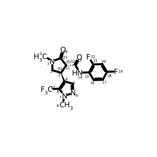 CN1C[C@H](c2cnn(C)c2C(F)(F)F)[C@@H](C(=O)Nc2ccc(F)cc2F)C1=O